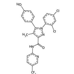 Cc1c(C(=O)Nc2ccc(C(F)(F)F)cn2)nn(-c2ccc(Cl)cc2Cl)c1-c1ccc(O)cc1